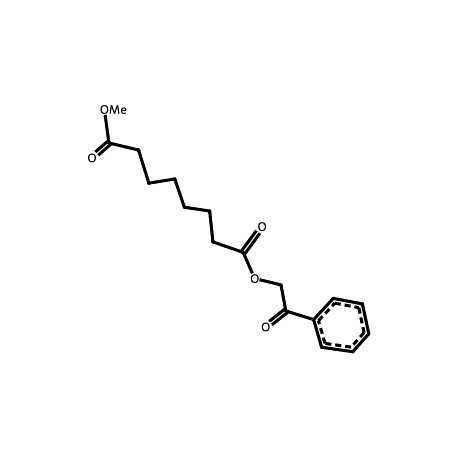 COC(=O)CCCCCCC(=O)OCC(=O)c1ccccc1